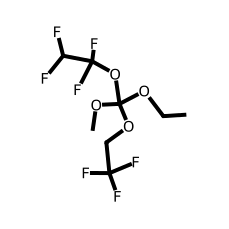 CCOC(OC)(OCC(F)(F)F)OC(F)(F)C(F)F